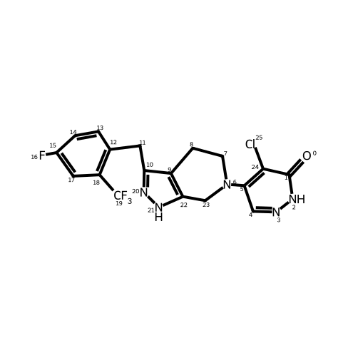 O=c1[nH]ncc(N2CCc3c(Cc4ccc(F)cc4C(F)(F)F)n[nH]c3C2)c1Cl